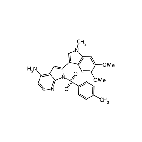 COc1cc2c(-c3cc4c(N)ccnc4n3S(=O)(=O)c3ccc(C)cc3)cn(C)c2cc1OC